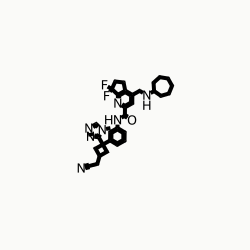 Cn1cnnc1C1(c2cccc(NC(=O)c3cc(CNC4CCCCCC4)c4c(n3)C(F)(F)CC4)c2)CC(CC#N)C1